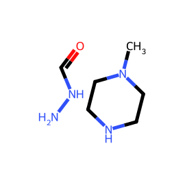 CN1CCNCC1.NNC=O